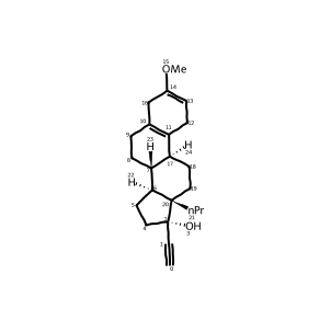 C#C[C@@]1(O)CC[C@H]2[C@@H]3CCC4=C(CC=C(OC)C4)[C@H]3CC[C@@]21CCC